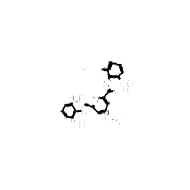 CC(=Nc1c(C)cccc1C)c1cccc(C(C)=Nc2c(C)cccc2C)n1.[Cl-].[Cl-].[V+2]